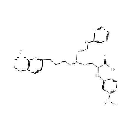 CN(C)c1cc(NC(CCN(CCCCc2ccc3c(n2)NCCC3)CCOc2ccccn2)C(=O)O)ncn1